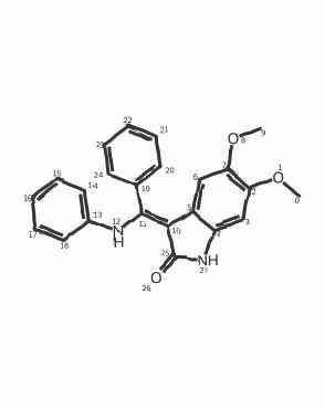 COc1cc2c(cc1OC)/C(=C(/Nc1ccccc1)c1ccccc1)C(=O)N2